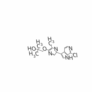 Cc1nc(-c2c[nH]c3c(Cl)nccc23)cnc1OCC(C)(C)O